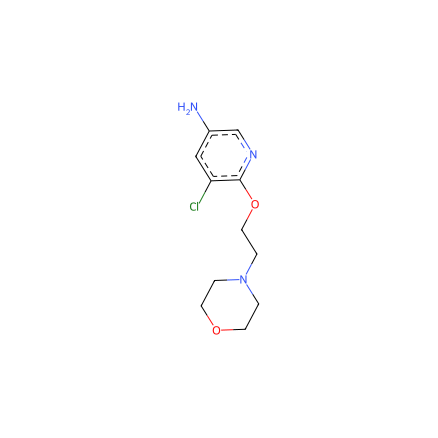 Nc1cnc(OCCN2CCOCC2)c(Cl)c1